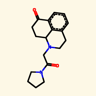 O=C1CCC2c3c(cccc31)CCN2CC(=O)N1CCCC1